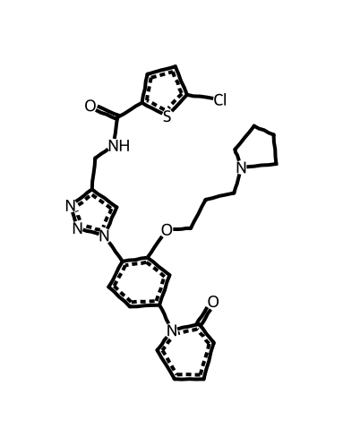 O=C(NCc1cn(-c2ccc(-n3ccccc3=O)cc2OCCCN2CCCC2)nn1)c1ccc(Cl)s1